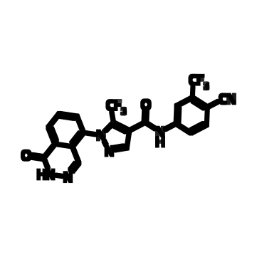 N#Cc1ccc(NC(=O)c2cnn(-c3cccc4c(=O)[nH]ncc34)c2C(F)(F)F)cc1C(F)(F)F